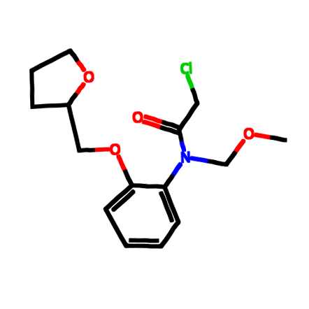 COCN(C(=O)CCl)c1ccccc1OCC1CCCO1